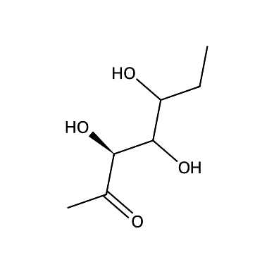 CCC(O)C(O)[C@H](O)C(C)=O